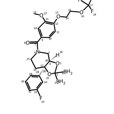 BC1(B)O[C@@H]2CN(C(=O)c3ccc(OCCOC(F)(F)F)c(OC)c3)CC[C@]2(c2cccc(F)c2)O1